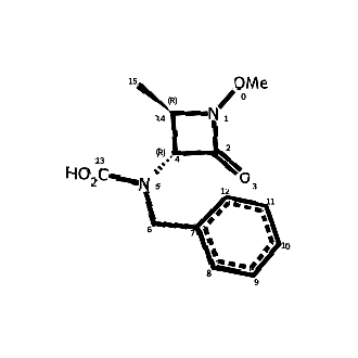 CON1C(=O)[C@H](N(Cc2ccccc2)C(=O)O)[C@H]1C